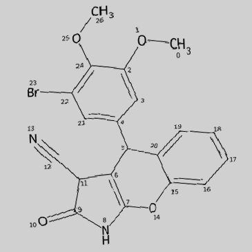 COc1cc(C2C3=C(NC(=O)C3C#N)Oc3ccccc32)cc(Br)c1OC